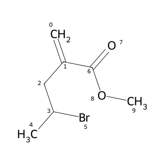 C=C(CC(C)Br)C(=O)OC